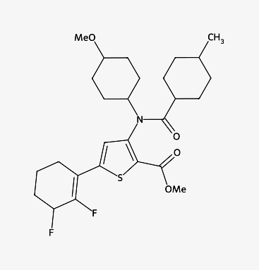 COC(=O)c1sc(C2=C(F)C(F)CCC2)cc1N(C(=O)C1CCC(C)CC1)C1CCC(OC)CC1